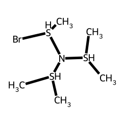 C[SH](C)N([SH](C)C)[SH](C)Br